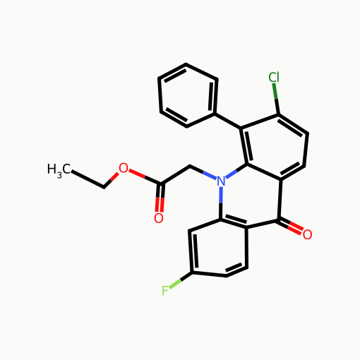 CCOC(=O)Cn1c2cc(F)ccc2c(=O)c2ccc(Cl)c(-c3ccccc3)c21